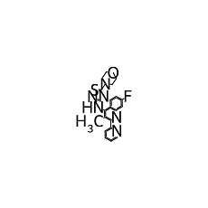 Cc1c(-c2ccccn2)nc2cc(F)ccc2c1Nc1nsc(N2CCOCC2)n1